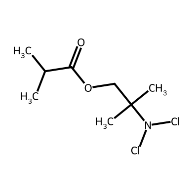 CC(C)C(=O)OCC(C)(C)N(Cl)Cl